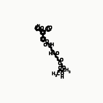 CCC(CO)OC(COC(=O)CCCC(=O)NCCCCNC(=O)Oc1cccc(-c2cc(N3CCOCC3)c3oc4ncccc4c3c2)c1)OC